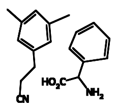 Cc1cc(C)cc(CCC#N)c1.NC(C(=O)O)c1ccccc1